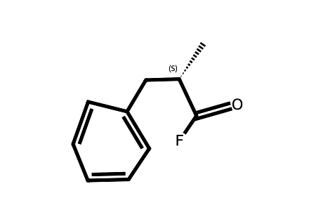 C[C@@H](Cc1ccccc1)C(=O)F